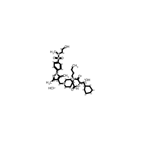 CCCCN1C(=O)[C@@H]([C@H](O)C2CCCCC2)NC(=O)C12CCN(Cc1c(C)nn(-c3ccc(S(=O)(=O)N(C)CCO)cc3)c1C)CC2.Cl